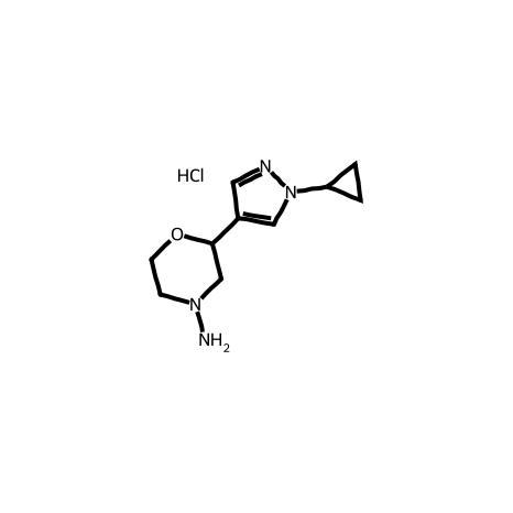 Cl.NN1CCOC(c2cnn(C3CC3)c2)C1